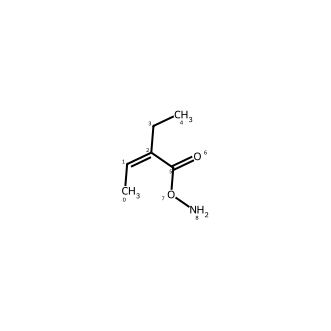 CC=C(CC)C(=O)ON